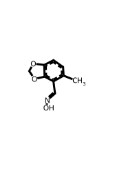 Cc1ccc2c(c1C=NO)OCO2